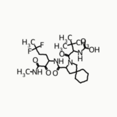 CNC(=O)C(=O)C(CCC(C)(F)F)NC(=O)C1CC2(CCCCC2)CN1C(=O)C(NC(=O)O)C(C)(C)C